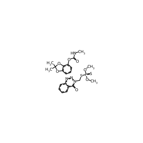 CNC(=O)Oc1cccc2c1OC(C)(C)O2.COP(=S)(OC)SCn1nnc2ccccc2c1=O